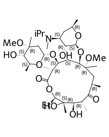 CC[C@H]1OC(=O)[C@H](C)[C@@H](O[C@H]2C[C@@](C)(OC)[C@@H](O)[C@H](C)O2)[C@H](C)[C@@H](O[C@@H]2O[C@H](C)C[C@H](N(C)C(C)C)[C@H]2O)[C@](C)(OC)C[C@@H](C)C(=O)[C@H](C)[C@@H](O)[C@]1(C)O